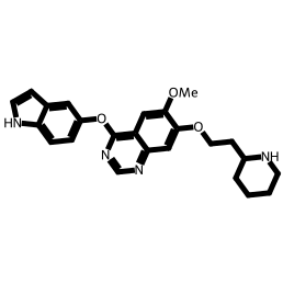 COc1cc2c(Oc3ccc4[nH]ccc4c3)ncnc2cc1OCCC1CCCCN1